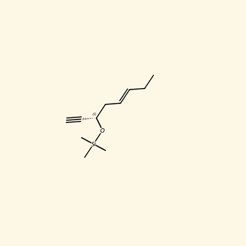 C#C[C@H](CC=CCC)O[Si](C)(C)C